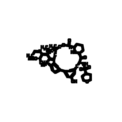 C=C/C(=C(\N=C/C)[C@H](C)OC)c1c2c3cc(ccc3n1CC)-c1cc(O)cc(c1)C[C@H](NS(=O)(=O)N1CCOCC1)C(=O)N1CCC[C@H](N1)C(=O)OCC(C)(C)C2